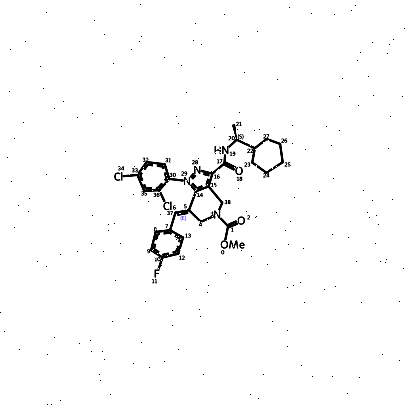 COC(=O)N1C/C(=C\c2ccc(F)cc2)c2c(c(C(=O)N[C@@H](C)C3CCCCC3)nn2-c2ccc(Cl)cc2Cl)C1